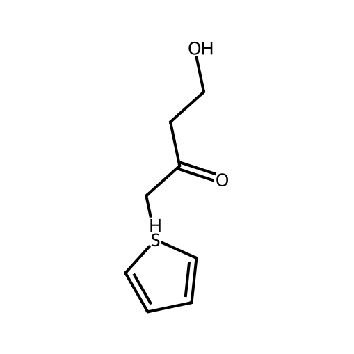 O=C(CCO)C[SH]1C=CC=C1